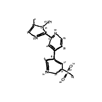 Cc1cnc(-c2cc(-c3cncc(S(C)(=O)=O)c3)ccn2)n1C(C)C